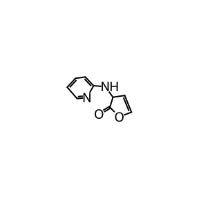 O=C1OC=CC1Nc1ccccn1